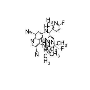 Cc1nc(F)ccc1[C@H](Nc1cc(C#N)c2ncc(C#N)c(NCC(C)(C)C)c2c1)C1=CN(C(C)(C)CF)NN1